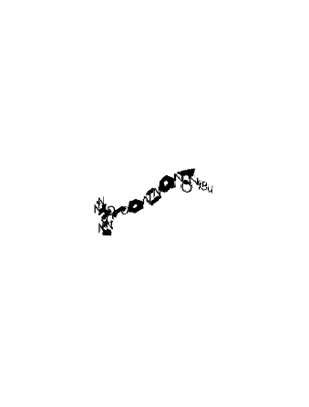 CCC(C)N1C(=O)N(c2ccc(N3CCN(c4ccc(OCC5COC(Cn6nccn6)(c6cncnc6)O5)cc4)CC3)cc2)C=C2C=C21